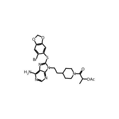 CC(=O)OC(C)C(=O)N1CCC(CCn2c(Sc3cc4c(cc3Br)OCO4)nc3c(N)ncnc32)CC1